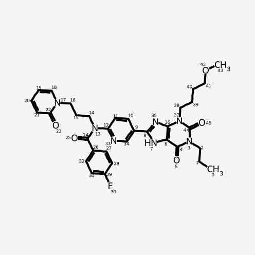 CCCn1c(=O)c2[nH]c(-c3ccc(N(CCCn4ccccc4=O)C(=O)c4ccc(F)cc4)nc3)nc2n(CCCCOC)c1=O